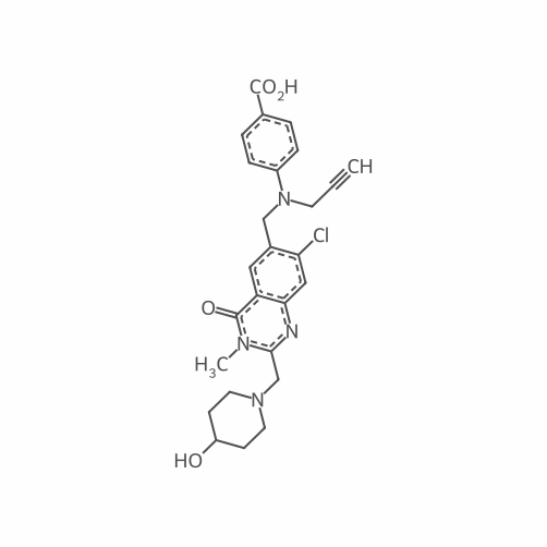 C#CCN(Cc1cc2c(=O)n(C)c(CN3CCC(O)CC3)nc2cc1Cl)c1ccc(C(=O)O)cc1